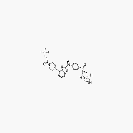 O=C(CCC(F)(F)F)N1CC=C(c2cccn3nc(Nc4ccc(C(=O)N5C[C@H]6CNC[C@H]6C5)cc4)nc23)CC1